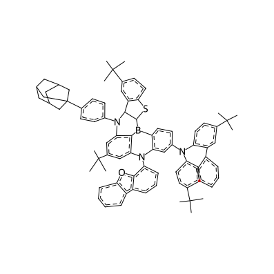 CC(C)(C)c1ccc(N(c2ccc3c(c2)N(c2cccc4c2oc2ccccc24)c2cc(C(C)(C)C)cc4c2B3C2Sc3ccc(C(C)(C)C)cc3C2N4c2ccc(C34CC5CC(CC(C5)C3)C4)cc2)c2ccc(C(C)(C)C)cc2-c2ccccc2)cc1